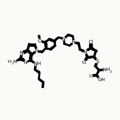 CCCCCNc1nc(N)nc2ccn(Cc3ccc(CN4CCN(CCN5C(=O)CC(SCC(N)C(=O)O)C5=O)CC4)cc3OC)c12